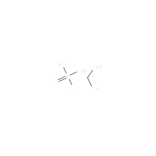 CCO.OP(O)(O)=S